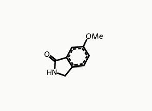 [CH2]Oc1ccc2c(c1)C(=O)NC2